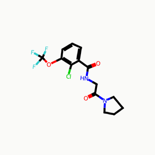 O=C(NCC(=O)N1CCCC1)c1cccc(OC(F)(F)F)c1Cl